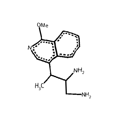 COc1ncc(C(C)C(N)CN)c2ccccc12